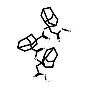 CCC(C)OC(=O)CC1(OC(=O)C23CC4CC(C2)CC(C(=O)OC2(CC(=O)OC(C)CC)C5CC6CC(C5)CC2C6)(C4)C3)C2CC3CC(C2)CC1C3